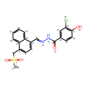 CCC(C)S(=O)(=O)Cc1ccc(/C=N/NC(=O)c2ccc(O)c(Cl)c2)c2ccccc12